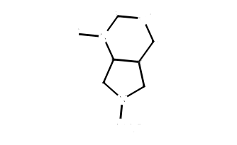 CCOC(=O)N1CC2COCN(C)C2C1